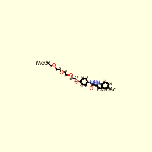 COCCOCCOCCOCCOc1ccc(NC(=O)c2cc3cc(C(C)=O)ccc3[nH]2)cc1